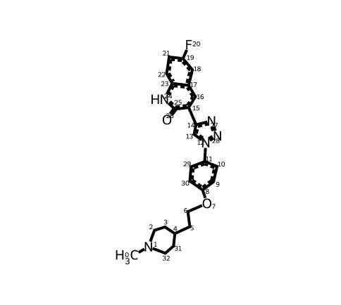 CN1CCC(CCOc2ccc(-n3cc(-c4cc5cc(F)ccc5[nH]c4=O)nn3)cc2)CC1